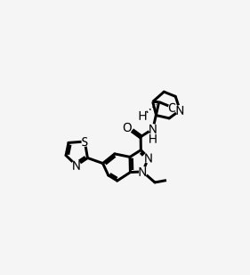 CCn1nc(C(=O)N[C@@H]2CN3CCC2CC3)c2cc(-c3nccs3)ccc21